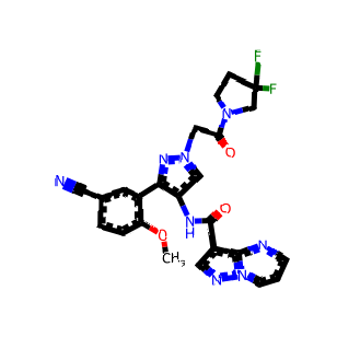 COc1ccc(C#N)cc1-c1nn(CC(=O)N2CCC(F)(F)C2)cc1NC(=O)c1cnn2cccnc12